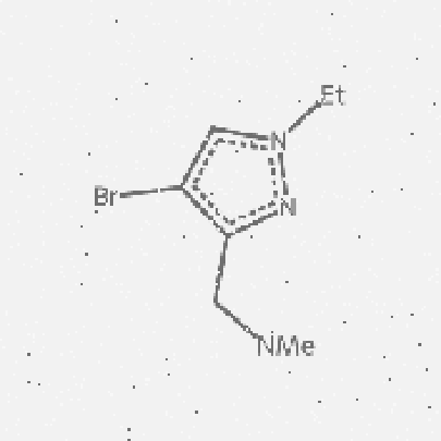 CCn1cc(Br)c(CNC)n1